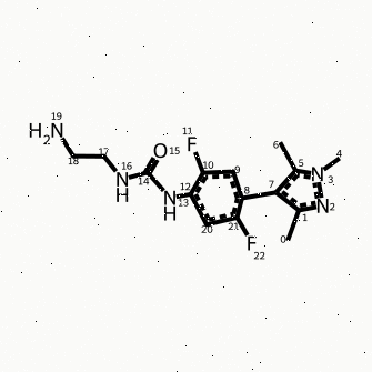 Cc1nn(C)c(C)c1-c1cc(F)c(NC(=O)NCCN)cc1F